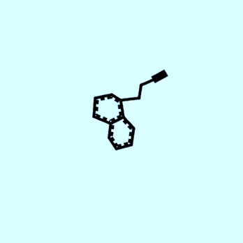 C#CCCc1cccc2ccccc12